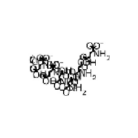 N[C@@H](CC(=O)O)C(=O)[O-].N[C@@H](CC(=O)O)C(=O)[O-].N[C@@H](CC(=O)O)C(=O)[O-].N[C@@H](CCC(=O)O)C(=O)[O-].N[C@@H](CCC(=O)O)C(=O)[O-].N[C@@H](CCC(=O)O)C(=O)[O-].[Cr+3].[Cr+3]